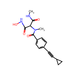 CNC(=O)C(C(=O)NO)N(C)C(=O)c1ccc(C#CC2CC2)cc1